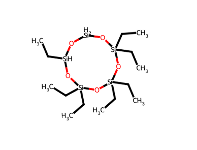 CC[SiH]1O[SiH2]O[Si](CC)(CC)O[Si](CC)(CC)O[Si](CC)(CC)O1